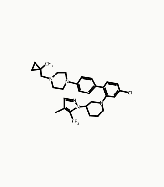 Cc1cnn(C2CCCN(c3cc(Cl)ccc3-c3ccc(N4CCN(CC5(C(F)(F)F)CC5)CC4)cc3)C2)c1C(F)(F)F